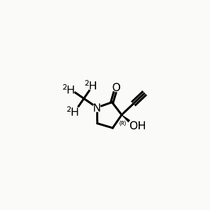 [2H]C([2H])([2H])N1CC[C@@](O)(C#C)C1=O